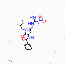 [CH2]CC(C)CNC(=O)[C@H](CCCNC(=N)N[N+](=O)[O-])NC(=O)c1ccccc1